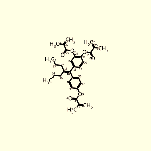 C=C(C)C(=O)Oc1ccc(C(=C(CCC)CCC)c2ccc(OC(=O)C(=C)C)c(OC(=O)C(=C)C)c2)cc1